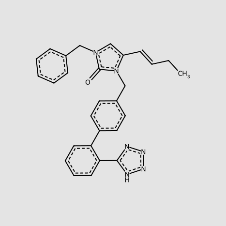 CC/C=C/c1cn(Cc2ccccc2)c(=O)n1Cc1ccc(-c2ccccc2-c2nnn[nH]2)cc1